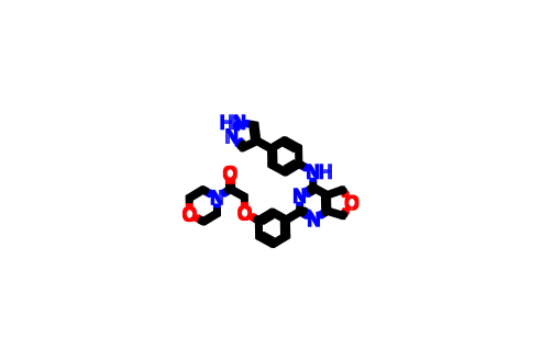 O=C(COc1cccc(-c2nc3c(c(Nc4ccc(-c5cn[nH]c5)cc4)n2)COC3)c1)N1CCOCC1